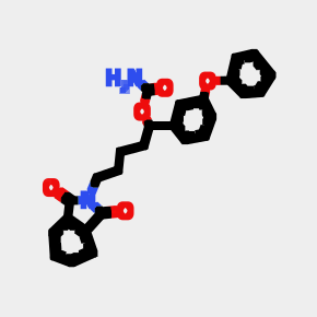 NC(=O)OC(CCCCN1C(=O)c2ccccc2C1=O)c1cccc(Oc2ccccc2)c1